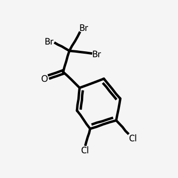 O=C(c1ccc(Cl)c(Cl)c1)C(Br)(Br)Br